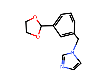 c1cc(Cn2ccnc2)cc(C2OCCO2)c1